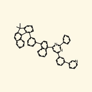 CC1(C)c2cccc(-c3cccc(-c4ccc(-c5cc(-c6cccc(-c7cccnc7)c6)nc(-c6ccccc6)n5)c5ccccc45)c3)c2-c2c1ccc1ccccc21